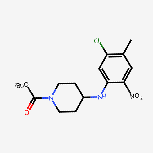 Cc1cc([N+](=O)[O-])c(NC2CCN(C(=O)OCC(C)C)CC2)cc1Cl